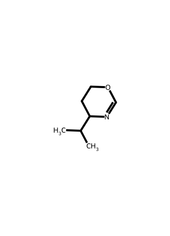 CC(C)C1CCOC=N1